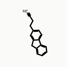 C#CCCc1ccc2c(c1)Cc1ccccc1-2